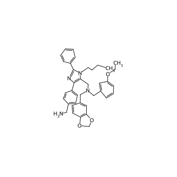 CCCCn1c(-c2ccccc2)nc(-c2ccc(CN)cc2)c1CN(Cc1cccc(OCC)c1)Cc1ccc2c(c1)OCO2